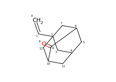 C=CC12CC3CC(C1)C(=O)C(C3)C2